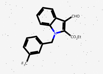 CCOC(=O)c1c(C=O)c2ccccc2n1Cc1cccc(C(F)(F)F)c1